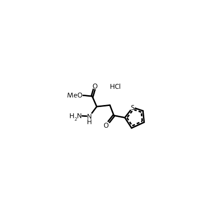 COC(=O)C(CC(=O)c1cccs1)NN.Cl